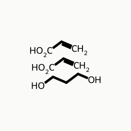 C=CC(=O)O.C=CC(=O)O.OCCCO